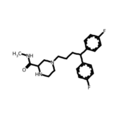 CNC(=O)C1CN(CCCC(c2ccc(F)cc2)c2ccc(F)cc2)CCN1